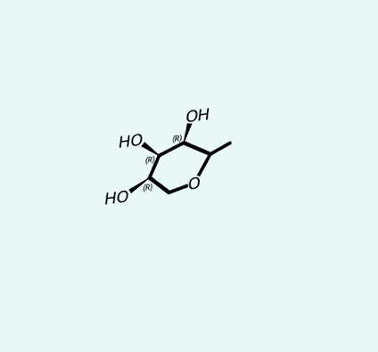 CC1OC[C@@H](O)[C@@H](O)[C@H]1O